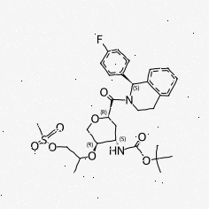 CC(COS(C)(=O)=O)O[C@H]1CO[C@@H](C(=O)N2CCc3ccccc3[C@@H]2c2ccc(F)cc2)C[C@@H]1NC(=O)OC(C)(C)C